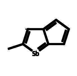 C[C]1=[C]C2=CC=C[C]2=[Sb]1